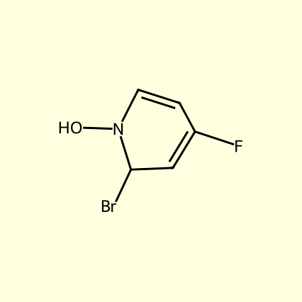 ON1C=CC(F)=CC1Br